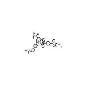 COC(=O)c1ccc(S(=O)(=O)N(Cc2cccc(OC)c2)c2ncc(C(F)(F)F)cc2Cl)cc1